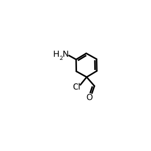 NC1=CC=CC(Cl)(C=O)C1